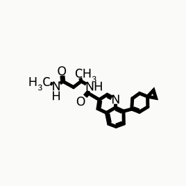 CNC(=O)CC(C)NC(=O)c1cnc2c(C3=CCC4(CC3)CC4)cccc2c1